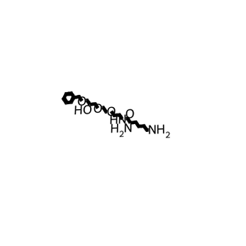 NCCCCC(N)C(=O)NCCOCCOCC(O)COCc1ccccc1